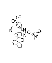 C=C(F)C(=O)N1CCN(c2nc(OC[C@@H]3C[C@H](OC)CN3C)nc3c2COC(c2cccc4cccc(Cl)c24)C3)C[C@@H]1CC#N